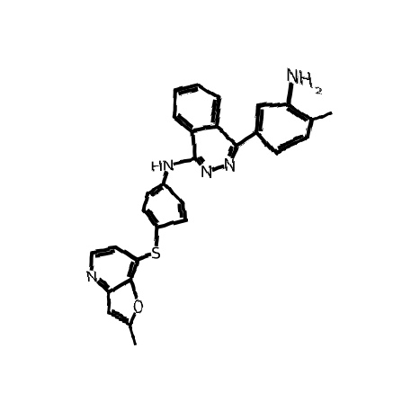 Cc1cc2nccc(Sc3ccc(Nc4nnc(-c5ccc(C)c(N)c5)c5ccccc45)cc3)c2o1